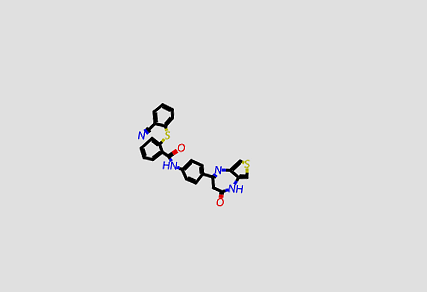 N#Cc1ccccc1Sc1ccccc1C(=O)Nc1ccc(C2=Nc3cscc3NC(=O)C2)cc1